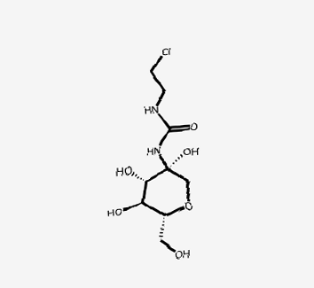 O=C(NCCCl)N[C@@]1(O)CO[C@H](CO)[C@@H](O)[C@@H]1O